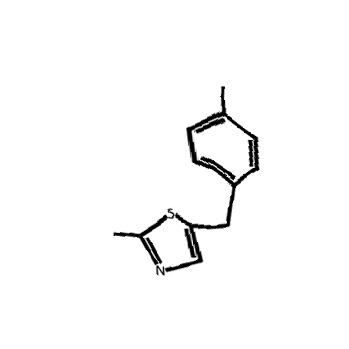 Cc1ccc(Cc2cnc(C)s2)cc1